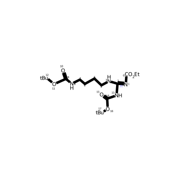 CCOC(=O)/N=C(\NCCCCNC(=O)OC(C)(C)C)NC(=O)OC(C)(C)C